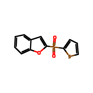 O=S(=O)(c1cc2ccccc2o1)c1cccs1